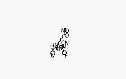 CN1CCC2(CC1)C[C@@H]2C(=O)NC(CCCCCC(=O)c1ncco1)c1[nH]c(-c2ccc(F)cc2)nc1C#N